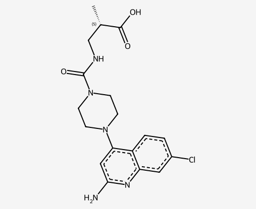 C[C@@H](CNC(=O)N1CCN(c2cc(N)nc3cc(Cl)ccc23)CC1)C(=O)O